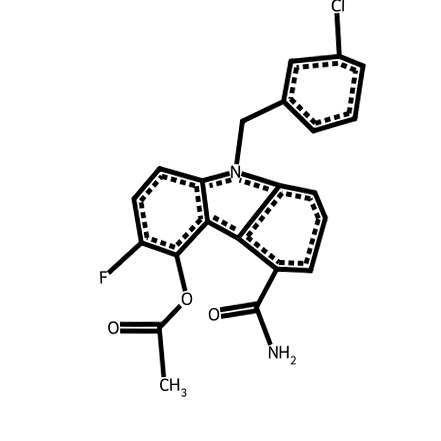 CC(=O)Oc1c(F)ccc2c1c1c(C(N)=O)cccc1n2Cc1cccc(Cl)c1